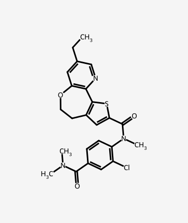 CCc1cnc2c(c1)OCCc1cc(C(=O)N(C)c3ccc(C(=O)N(C)C)cc3Cl)sc1-2